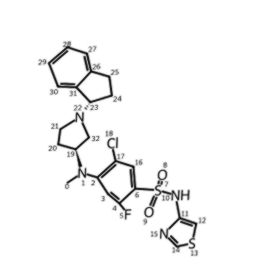 CN(c1cc(F)c(S(=O)(=O)Nc2cscn2)cc1Cl)[C@H]1CCN([C@H]2CCc3ccccc32)C1